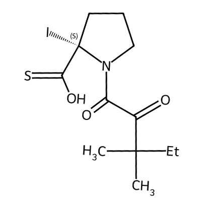 CCC(C)(C)C(=O)C(=O)N1CCC[C@]1(I)C(O)=S